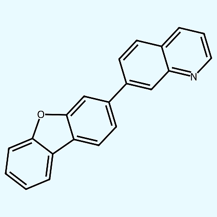 c1cnc2cc(-c3ccc4c(c3)oc3ccccc34)ccc2c1